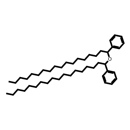 CCCCCCCCCCCCCCCCCC(OC(CCCCCCCCCCCCCCCCC)c1ccccc1)c1ccccc1